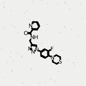 O=C(NCc1cn(-c2ccc(N3CCSCC3)c(F)c2)nn1)c1ccccn1